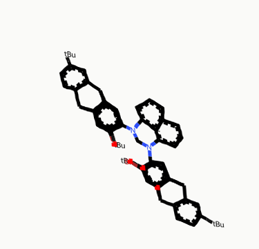 CC(C)(C)c1ccc2c(c1)C1c3ccc(C(C)(C)C)cc3C2c2cc(N3CN(c4cc5c(cc4Br)C4c6ccc(C(C)(C)C)cc6C5c5ccc(C(C)(C)C)cc54)c4cccc5cccc3c45)c(Br)cc21